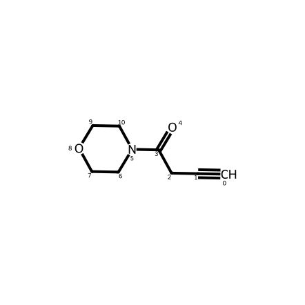 C#CCC(=O)N1CCOCC1